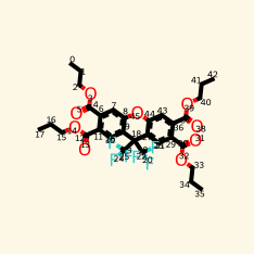 CCCOC(=O)c1cc2c(cc1C(=O)OCCC)C(C(F)(F)F)(C(F)(F)F)c1cc(C(=O)OCCC)c(C(=O)OCCC)cc1O2